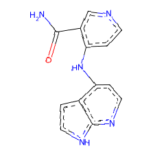 NC(=O)c1cnccc1Nc1ccnc2[nH]ccc12